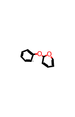 [c]1ccccc1OC1C=CC=CO1